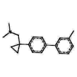 Cc1cccc(-c2ccc(C3(CN(C)C)CC3)cc2)c1